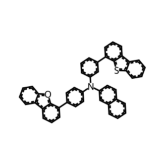 c1cc(-c2cccc3c2sc2ccccc23)cc(N(c2ccc(-c3cccc4c3oc3ccccc34)cc2)c2ccc3ccccc3c2)c1